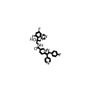 O=C(NC[C@](O)(Cn1cncn1)c1ccc(F)cc1F)c1ccc2c(-c3ccncc3)c(-c3ccc(F)cc3)nn2c1